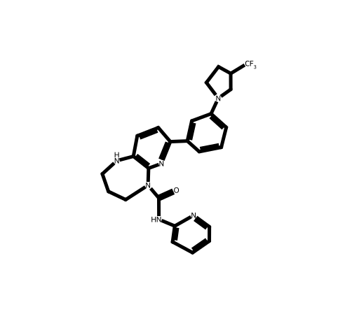 O=C(Nc1ccccn1)N1CCCNc2ccc(-c3cccc(N4CCC(C(F)(F)F)C4)c3)nc21